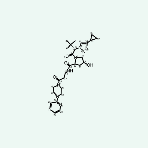 CC(C)(C)[C@@H](C(=O)N1CC(O)CC1C(=O)NCCC(=O)N1CCN(c2cnccn2)CC1)n1cc(C2CC2)nn1